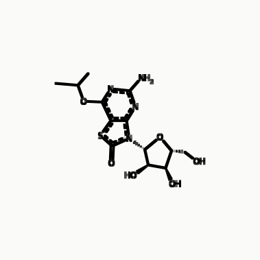 CC(C)Oc1nc(N)nc2c1sc(=O)n2[C@@H]1O[C@H](CO)[C@@H](O)[C@H]1O